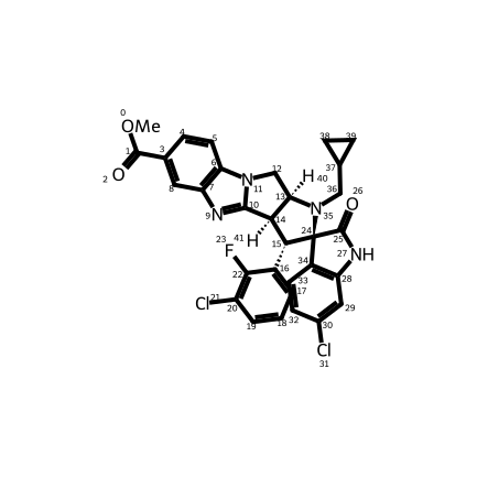 COC(=O)c1ccc2c(c1)nc1n2C[C@@H]2[C@H]1[C@@H](c1cccc(Cl)c1F)[C@@]1(C(=O)Nc3cc(Cl)ccc31)N2CC1CC1